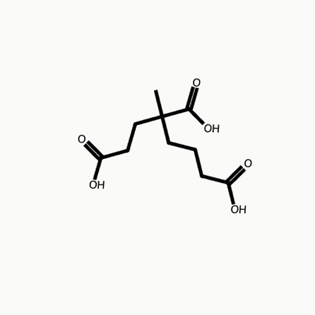 CC(CCCC(=O)O)(CCC(=O)O)C(=O)O